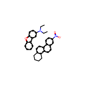 CCN(CC)c1ccc2oc3ccccc3c2c1.O=[N+]([O-])c1ccc2c(ccc3c4c(ccc32)CCCC4)c1